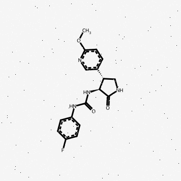 COc1ccc([C@@H]2CNC(=O)[C@H]2NC(=O)Nc2ccc(F)cc2)cn1